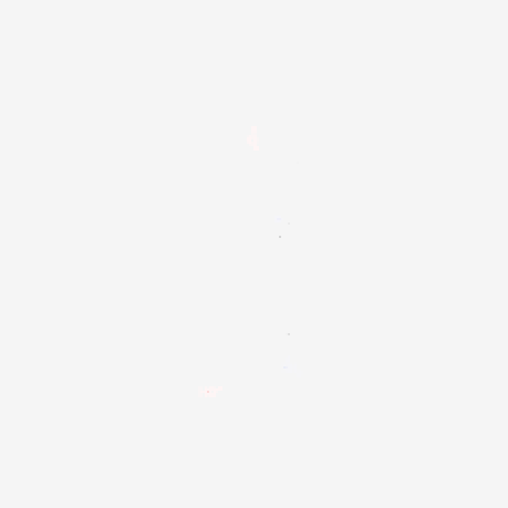 COc1cccc(/C=C/[C@@H]2CCc3cc([C@H](CN)CCCCO)ccc3C2)c1